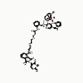 N#Cc1cnc(NCc2ccccc2NC(=O)CCOCCOCCNc2cccc3c2C(=O)N(C2CCC(=O)NC2=O)C3=O)nc1N(CC12CC3C[C@H](C1)C(N)[C@@H](C3)C2)c1ccccc1